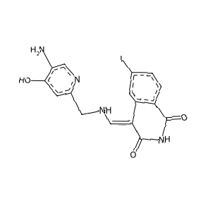 Nc1cnc(CN/C=C2/C(=O)NC(=O)c3ccc(I)cc32)cc1O